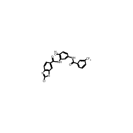 Cc1ccc(NC(=O)c2cccc(C(F)(F)F)c2)cc1NC(=O)c1ccc2nc(Cl)sc2c1